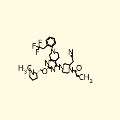 C=CC(=O)N1CCN(c2nc(OC[C@@H]3CCCN3C)nc3c2CCN(c2ccccc2CC(F)(F)F)C3)CC1CC#N